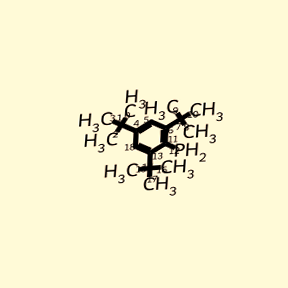 CC(C)(C)c1cc(C(C)(C)C)c(P)c(C(C)(C)C)c1